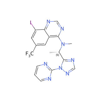 C[C@@H](c1ncnn1-c1ncccn1)N(C)c1ncnc2c(I)cc(C(F)(F)F)cc12